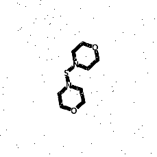 C1CN(SN2CCOCC2)CCO1